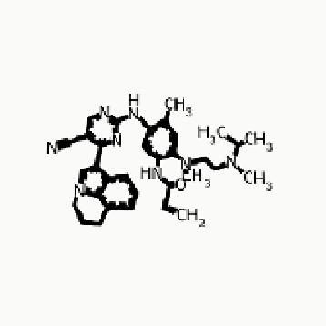 C=CC(=O)Nc1cc(Nc2ncc(C#N)c(-c3cn4c5c(cccc35)CCC4)n2)c(C)cc1N(C)CCN(C)C(C)C